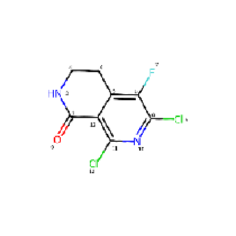 O=C1NCCc2c(F)c(Cl)nc(Cl)c21